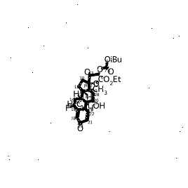 CCOC(=O)O[C@]1(C(=O)COC(=O)OCC(C)C)CC[C@H]2[C@@H]3C[C@H](F)C4=CC(=O)C=C[C@]4(C)[C@H]3C(O)C[C@@]21C